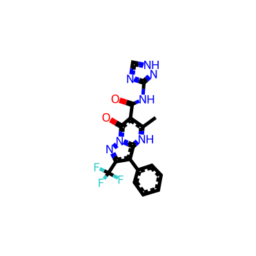 Cc1[nH]c2c(-c3ccccc3)c(C(F)(F)F)nn2c(=O)c1C(=O)Nc1nc[nH]n1